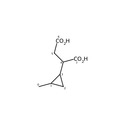 CC1CC1C(CC(=O)O)C(=O)O